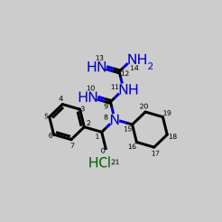 CC(c1ccccc1)N(C(=N)NC(=N)N)C1CCCCC1.Cl